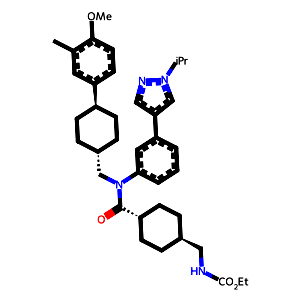 CCOC(=O)NC[C@H]1CC[C@H](C(=O)N(C[C@H]2CC[C@H](c3ccc(OC)c(C)c3)CC2)c2cccc(-c3cnn(C(C)C)c3)c2)CC1